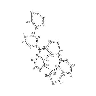 c1ccc(-c2cccc(-n3c4cccc5c4c4c(cccc43)-c3cccc4cccc-5c34)c2)cc1